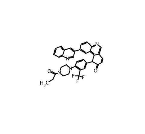 CCC(=O)N1CCN(c2ccc(C3C(=O)C=Cc4cnc5ccc(-c6cnc7ccccc7c6)cc5c43)cc2C(F)(F)F)CC1